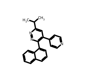 CC(C)c1cc(-c2ccncc2)c(-c2cccc3ccccc23)nn1